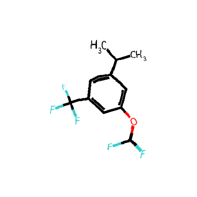 CC(C)c1cc(OC(F)F)cc(C(F)(F)F)c1